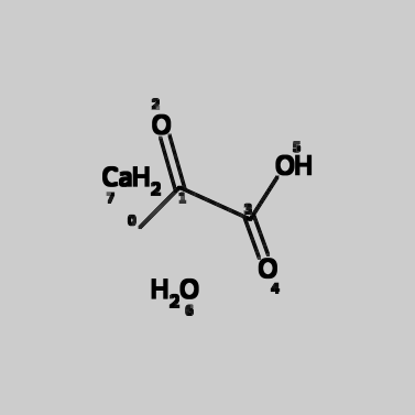 CC(=O)C(=O)O.O.[CaH2]